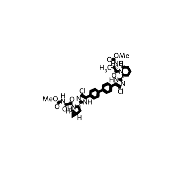 COC(=O)N[C@@H](C)C(=O)N1[C@@H](C)CCC[C@H]1c1nc(Cl)c(-c2ccc(-c3ccc(-c4[nH]c([C@@H]5C[C@H]6C[C@H]6N5C(=O)[C@H](O)NC(=O)OC)nc4Cl)cc3)cc2)[nH]1